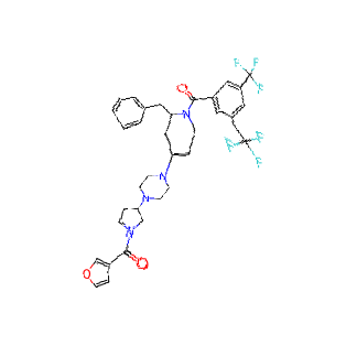 O=C(c1ccoc1)N1CCC(N2CCN(C3CCN(C(=O)c4cc(C(F)(F)F)cc(C(F)(F)F)c4)C(Cc4ccccc4)C3)CC2)C1